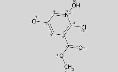 COC(=O)c1cc(Cl)c[n+](O)c1Cl